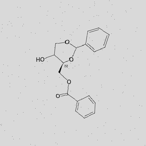 O=C(OC[C@@H]1OC(c2ccccc2)OCC1O)c1ccccc1